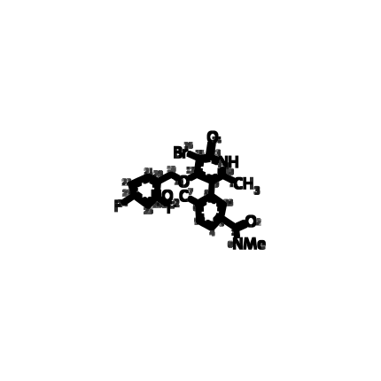 CNC(=O)c1ccc(C(=O)O)c(-c2c(C)[nH]c(=O)c(Br)c2OCc2ccc(F)cc2F)c1